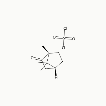 CC1(C)[C@@H]2CC[C@@]1(C)C(=O)C2.O=S(=O)(Cl)Cl